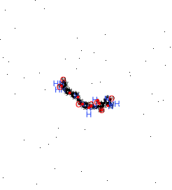 COc1cc(-c2cn(C)c(=O)c3[nH]ncc23)cc(OC)c1CNCC(=O)NC1CCN(C(=O)CCCN2CCC(c3ccc(NC4CCC(=O)NC4=O)cc3)CC2)CC1